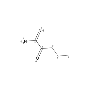 CCCC(=O)C(=N)N